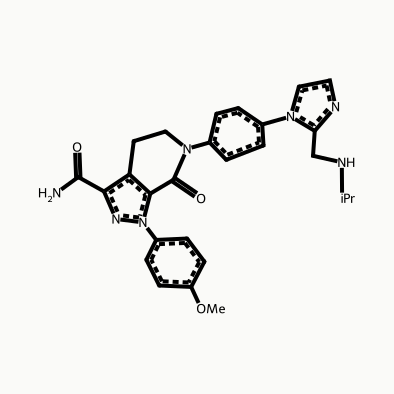 COc1ccc(-n2nc(C(N)=O)c3c2C(=O)N(c2ccc(-n4ccnc4CNC(C)C)cc2)CC3)cc1